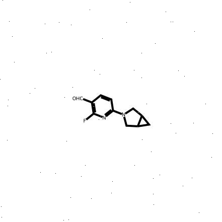 O=Cc1ccc(N2CC3CC3C2)nc1F